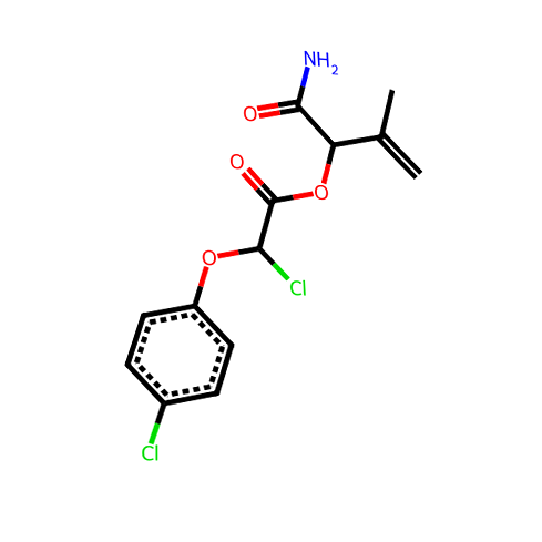 C=C(C)C(OC(=O)C(Cl)Oc1ccc(Cl)cc1)C(N)=O